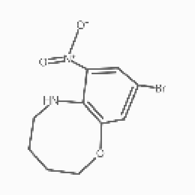 O=[N+]([O-])c1cc(Br)cc2c1NCCCCO2